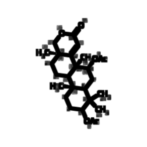 CC(=O)OC1CC[C@@]2(C)C(C[C@H](OC(C)=O)[C@@]3(C)C4=CC(=O)OC[C@]4(C)CCC23)C1(C)C